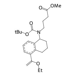 C=C(OCC)c1cccc2c1CCCC2N(CCCC(=O)OC)C(=O)OC(C)(C)C